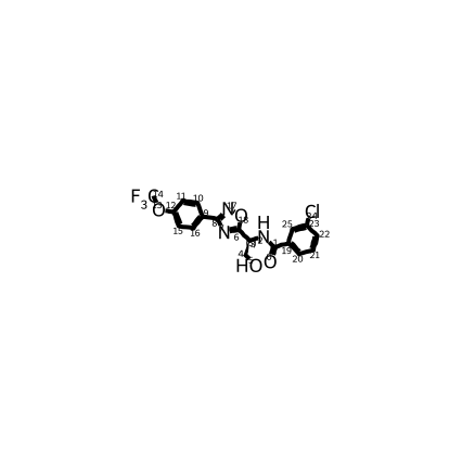 O=C(N[C@@H](CO)c1nc(-c2ccc(OC(F)(F)F)cc2)no1)c1cccc(Cl)c1